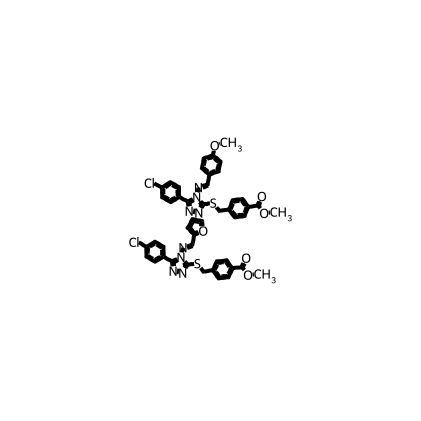 COC(=O)c1ccc(CSc2nnc(-c3ccc(Cl)cc3)n2N=Cc2ccc(OC)cc2)cc1.COC(=O)c1ccc(CSc2nnc(-c3ccc(Cl)cc3)n2N=Cc2ccco2)cc1